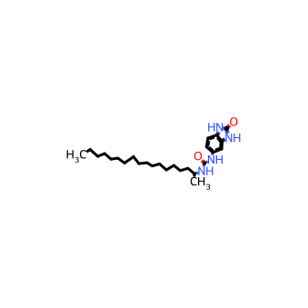 CCCCCCCCCCCCCCCCC(C)NC(=O)Nc1ccc2[nH]c(=O)[nH]c2c1